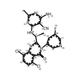 Cc1nc(N)c(C#N)c(N[C@@H](C)c2nc3c(Cl)ccc(Cl)c3c(=O)n2-c2cncc(F)c2)n1